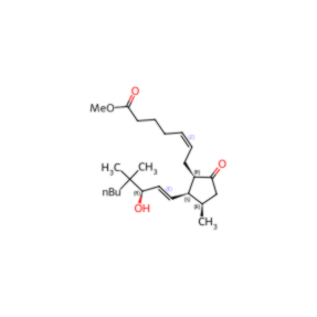 CCCCC(C)(C)[C@H](O)/C=C/[C@@H]1[C@H](C)CC(=O)[C@@H]1C/C=C\CCCC(=O)OC